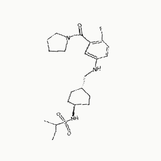 CC(C)S(=O)(=O)N[C@H]1CC[C@H](CNc2ccc(F)c(C(=O)N3CCCC3)c2)CC1